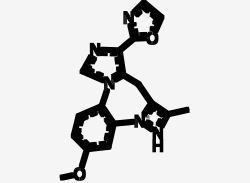 COc1ccc2c(c1)-n1[nH]c(C)c1Cc1c(-c3ncco3)ncn1-2